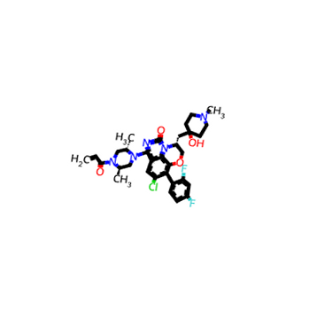 C=CC(=O)N1C[C@H](C)N(c2nc(=O)n3c4c(c(-c5ccc(F)cc5F)c(Cl)cc24)OC[C@H]3CC2(O)CCN(C)CC2)C[C@H]1C